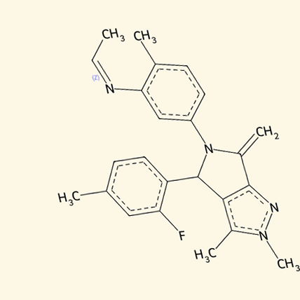 C=C1c2nn(C)c(C)c2C(c2ccc(C)cc2F)N1c1ccc(C)c(/N=C\C)c1